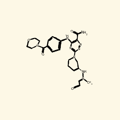 CN(CC=O)N[C@@H]1CCCN(c2nnc(C(N)=O)c(Nc3ccc(C(=O)N4CCOCC4)cc3)n2)C1